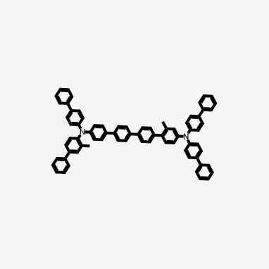 Cc1cc(N(c2ccc(-c3ccccc3)cc2)c2ccc(-c3ccccc3)cc2)ccc1-c1ccc(-c2ccc(-c3ccc(N(c4ccc(-c5ccccc5)cc4)c4ccc(-c5ccccc5)cc4C)cc3)cc2)cc1